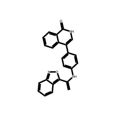 C=C(Nc1ccc(-c2c[nH]c(=O)c3ccccc23)cc1)c1onc2ccccc12